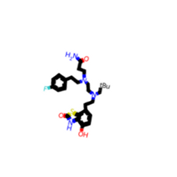 CC(C)(C)CN(CCc1ccc(O)c2[nH]c(=O)sc12)CCN(CCC(N)=O)CCc1ccc(F)cc1